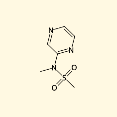 CN(c1cnccn1)S(C)(=O)=O